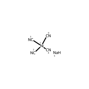 N#[C][Ni]([C]#N)([C]#N)[C]#N.[NaH]